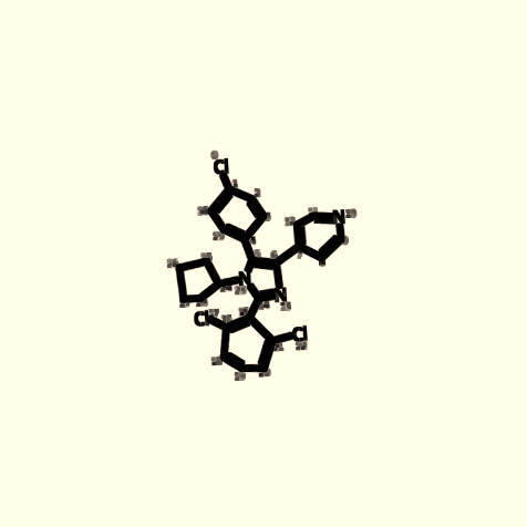 Clc1ccc(-c2c(-c3ccncc3)nc(-c3c(Cl)cccc3Cl)n2C2CCCC2)cc1